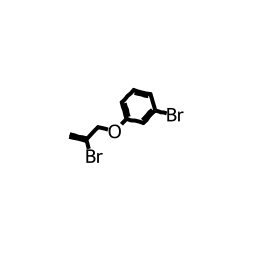 C=C(Br)COc1cccc(Br)c1